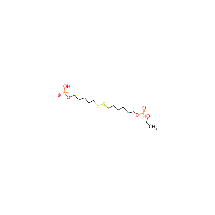 CCO[PH](=O)OCCCCCCSSCCCCCO[PH](=O)O